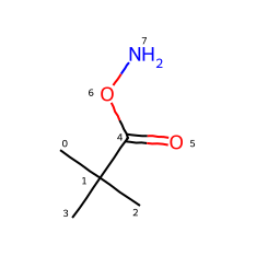 CC(C)(C)C(=O)ON